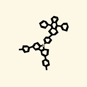 Cc1ccc(-c2ccc3c(c2)c2cc(-c4ccc(C)cc4)ccc2n3-c2ccc(-c3ccc4c(-c5ccccc5)c5ccccc5c(-c5ccccc5)c4c3)cc2)cc1